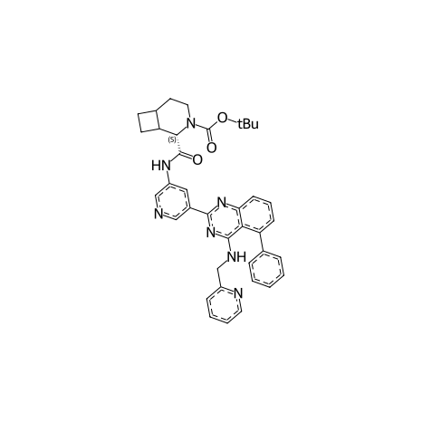 CC(C)(C)OC(=O)N1CCC2CCC2[C@H]1C(=O)Nc1cncc(-c2nc(NCc3ccccn3)c3c(-c4ccccc4)cccc3n2)c1